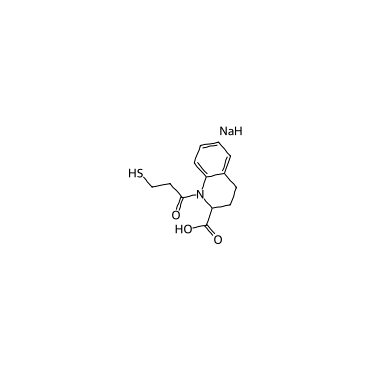 O=C(O)C1CCc2ccccc2N1C(=O)CCS.[NaH]